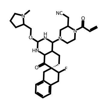 C=CC(=O)N1CCN(C2NC(OCC3CCCN3C)NC3C(=O)[C@]4(CCC32)Cc2ccccc2CC4F)CC1CC#N